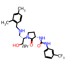 CCC[C@H](O)[C@H](CNCc1ccc(C)cc1C)N1CC[C@H](NC(=O)Nc2cccc(C(F)(F)F)c2)C1=O